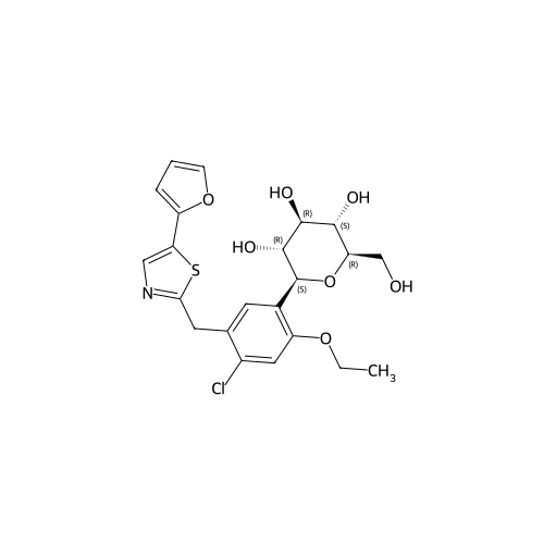 CCOc1cc(Cl)c(Cc2ncc(-c3ccco3)s2)cc1[C@@H]1O[C@H](CO)[C@@H](O)[C@H](O)[C@H]1O